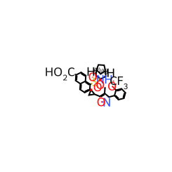 O=C(O)c1ccc2c(S(=O)(=O)NC3[C@@H]4CC[C@H]3CC(OCc3c(-c5ccccc5OC(F)(F)F)noc3C3CC3)C4)cccc2c1